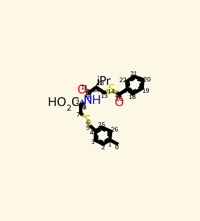 Cc1ccc(CSC[C@H](NC(=O)[C@@H](CSC(=O)c2ccccc2)C(C)C)C(=O)O)cc1